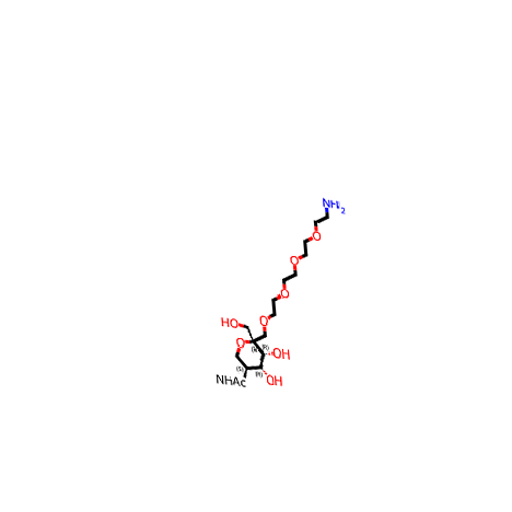 CC(=O)N[C@H]1CO[C@](CO)(COCCOCCOCCOCCN)[C@H](O)[C@@H]1O